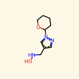 ONCc1cnn(C2CCCCO2)c1